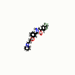 CN(CC(=O)c1ccc(C(F)(F)F)cc1)Cc1cccc(OCCCN2CCCCC2)c1